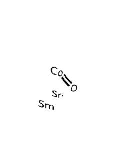 [O]=[Co].[Sm].[Sr]